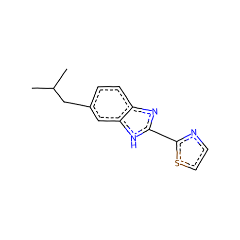 CC(C)Cc1ccc2nc(-c3nccs3)[nH]c2c1